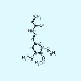 C=CC(=O)NC=Cc1cc(OC)c(OC)c(OC)c1